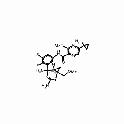 COC[C@]12C[C@H]1[C@@](C)(c1cc(NC(=O)c3ncc(C4(C)CC4)nc3OC)cc(F)c1F)N=C(N)S2